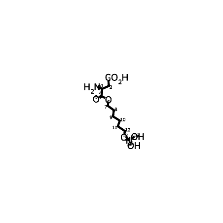 NC(CC(=O)O)C(=O)OCCCCCCON(O)O